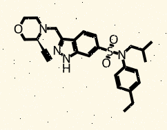 C#C[C@H]1COCCN1Cc1n[nH]c2cc(S(=O)(=O)N(CC(C)C)c3ccc(CC)cc3)ccc12